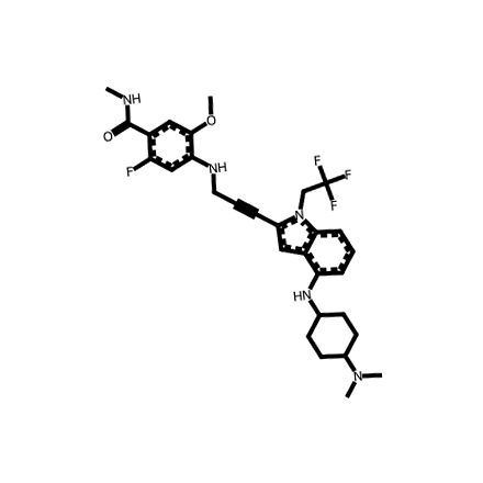 CNC(=O)c1cc(OC)c(NCC#Cc2cc3c(NC4CCC(N(C)C)CC4)cccc3n2CC(F)(F)F)cc1F